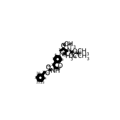 COC1CN(c2ccc3c(c2)OC[C@H](NC(=O)OCc2ccccc2)C3)CC1NC(=O)OC(C)(C)C